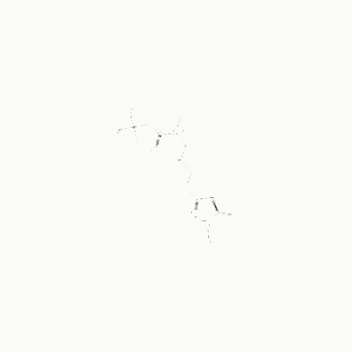 Cc1cc(OCCCN(C)C(=O)OC(C)(C)C)nn1C